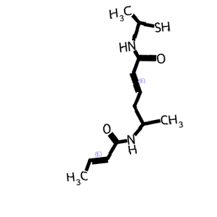 C/C=C/C(=O)NC(C)C/C=C/C(=O)NC(C)S